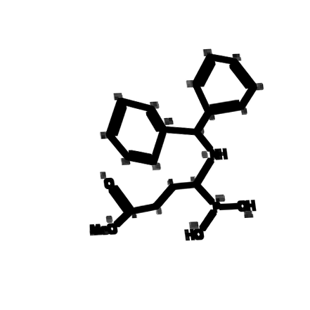 COC(=O)CCC(NC(c1ccccc1)c1ccccc1)P(O)O